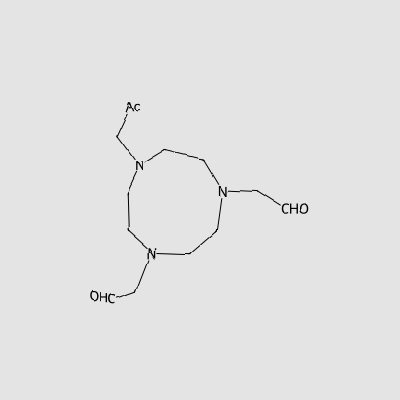 CC(=O)CN1CCN(CC=O)CCN(CC=O)CC1